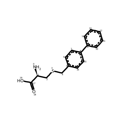 N[C@@H](CSCc1ccc(-c2ccccc2)cc1)C(=O)O